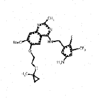 COc1cc2nc(C)nc(NCc3cc(N)cc(C(F)(F)F)c3F)c2cc1OCCOC1(C)CC1